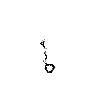 c1ccc(OCCOC2CO2)cc1